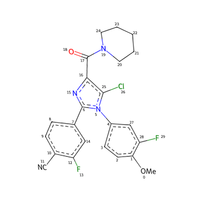 COc1ccc(-n2c(-c3ccc(C#N)c(F)c3)nc(C(=O)N3CCCCC3)c2Cl)cc1F